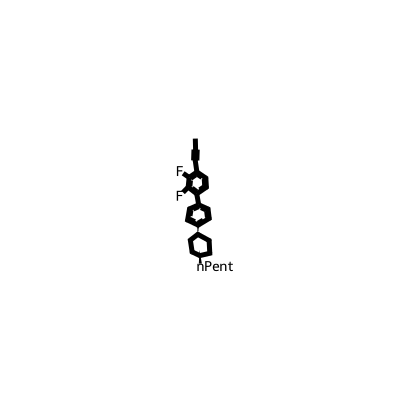 CC#Cc1ccc(-c2ccc([C@H]3CC[C@H](CCCCC)CC3)cc2)c(F)c1F